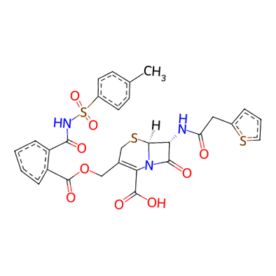 Cc1ccc(S(=O)(=O)NC(=O)c2ccccc2C(=O)OCC2=C(C(=O)O)N3C(=O)[C@@H](NC(=O)Cc4cccs4)[C@@H]3SC2)cc1